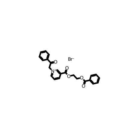 O=C(C[n+]1cccc(C(=O)OCCOC(=O)c2ccccc2)c1)c1ccccc1.[Br-]